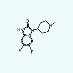 CN1CCC(n2c(=O)[nH]c3cc(F)c(F)cc32)CC1